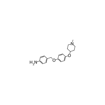 CN1CCC(Oc2ccc(OCc3ccc(N)cc3)cc2)CC1